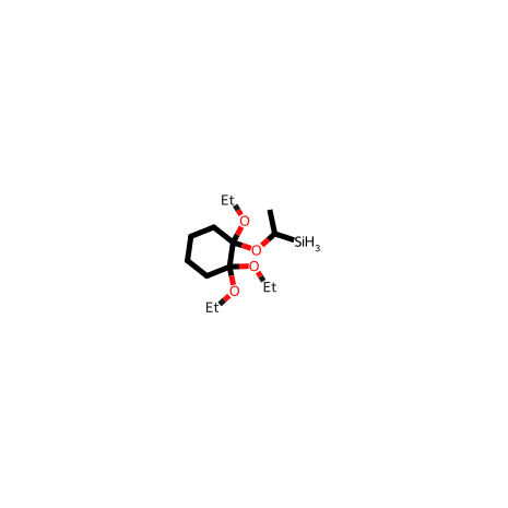 CCOC1(OCC)CCCCC1(OCC)OC(C)[SiH3]